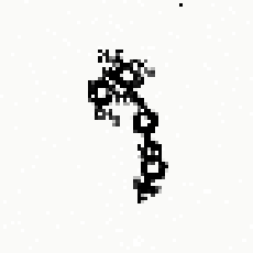 Cc1cnc2nc(C(C)C)c(C(=O)NCc3ccc(-c4cn5c(n4)CC(C(F)(F)F)CC5)cc3)n2c1